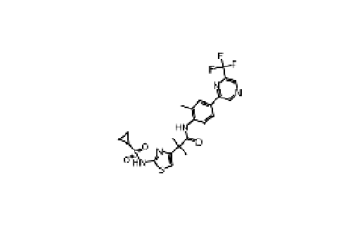 Cc1cc(-c2cncc(C(F)(F)F)n2)ccc1NC(=O)C(C)(C)c1csc(NS(=O)(=O)C2CC2)n1